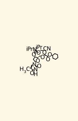 Cc1cn([C@H]2CC(OP(OCCC#N)N(C(C)C)C(C)C)[C@@H](COC(=O)C(=O)OC3CCCCC3)O2)c(=O)[nH]c1=O